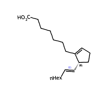 CCCCCC/C=C/[C@H]1CCC=C1CCCCCCC(=O)O